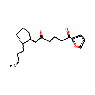 CCCCC1CCCCC1CC(=O)CCCC(=O)c1ccco1